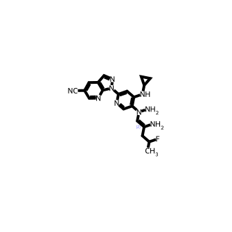 CC(F)C/C(N)=C/N(N)c1cnc(-n2ncc3cc(C#N)cnc32)cc1NC1CC1